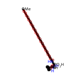 COCCOCCOCCOCCOCCOCCOCCOCCOCCOCCOCCOCCOCCOCCOCCOCCOCCOCCOCCOCCOCCOCCOCCOCCC(=O)NCCCC[C@H](NC(=O)[C@@H](NC(=O)OCC1c2ccccc2-c2ccccc21)C(C)C)C(=O)O